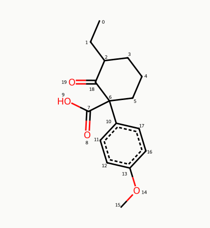 CCC1CCCC(C(=O)O)(c2ccc(OC)cc2)C1=O